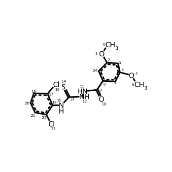 COc1cc(OC)cc(C(=O)NNC(=S)Nc2c(Cl)cccc2Cl)c1